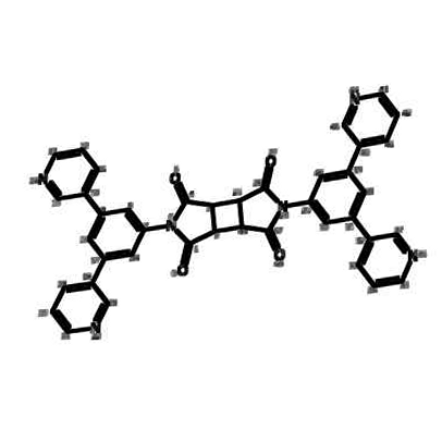 O=C1C2C(C(=O)N1c1cc(-c3cccnc3)cc(-c3cccnc3)c1)C1C(=O)N(c3cc(-c4cccnc4)cc(-c4cccnc4)c3)C(=O)C21